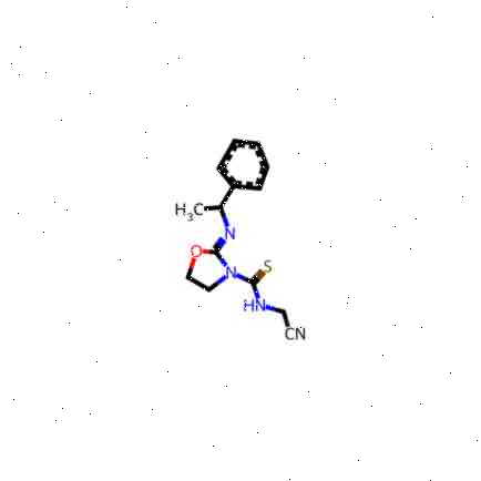 CC(/N=C1\OCCN1C(=S)NCC#N)c1ccccc1